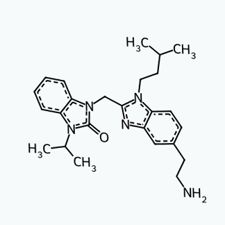 CC(C)CCn1c(Cn2c(=O)n(C(C)C)c3ccccc32)nc2cc(CCN)ccc21